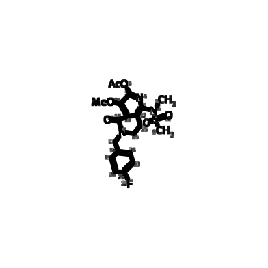 COc1c(OC(C)=O)nc(N(C)S(C)(=O)=O)c2c1C(=O)N(Cc1ccc(F)cc1)CC2